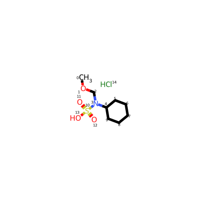 COCN(C1CCCCC1)S(=O)(=O)O.Cl